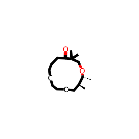 C[C@H]1CCCCCCCCC(=O)C(C)(C)CO[C@@H]1C